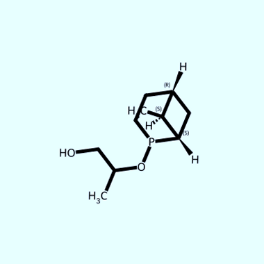 CC(CO)OP1CC[C@@H]2C[C@H]1[C@H]2C